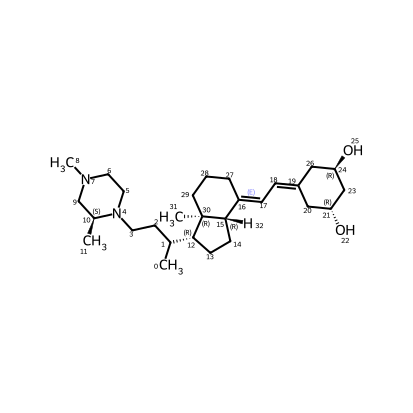 CC(CCN1CCN(C)C[C@@H]1C)[C@H]1CC[C@H]2/C(=C/C=C3C[C@@H](O)C[C@H](O)C3)CCC[C@]12C